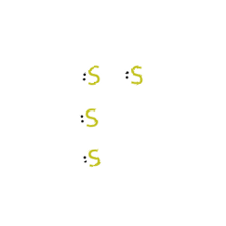 [S].[S].[S].[S]